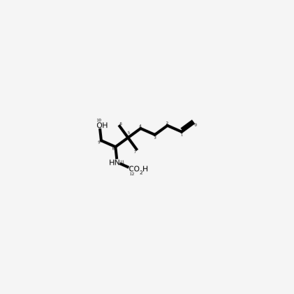 C=CCCCC(C)(C)C(CO)NC(=O)O